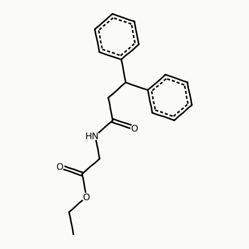 CCOC(=O)CNC(=O)CC(c1ccccc1)c1ccccc1